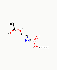 CCCCCOC(=O)NCCOC(=O)C(C)CC